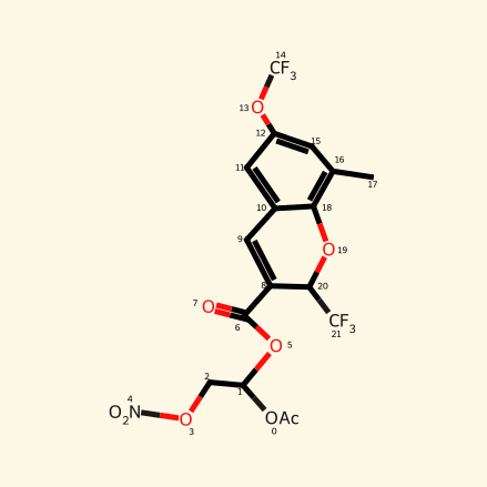 CC(=O)OC(CO[N+](=O)[O-])OC(=O)C1=Cc2cc(OC(F)(F)F)cc(C)c2OC1C(F)(F)F